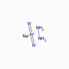 NN.[N-]=[N+]=[N-].[Na+]